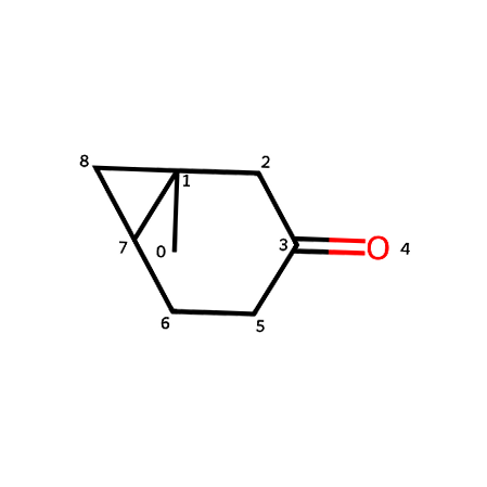 CC12CC(=O)CCC1C2